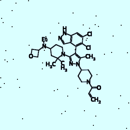 C=CC(=O)N1CCC(n2nc(N3CCC(N(CC)C4COC4)CC3(C)C)c(-c3c(Cl)c(Cl)cc4[nH]ncc34)c2C)CC1